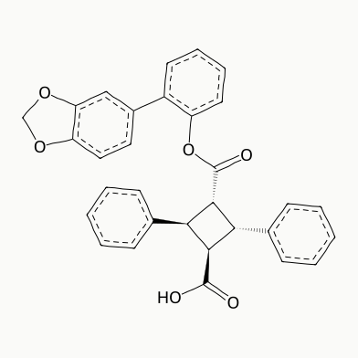 O=C(O)[C@H]1[C@@H](c2ccccc2)[C@H](C(=O)Oc2ccccc2-c2ccc3c(c2)OCO3)[C@@H]1c1ccccc1